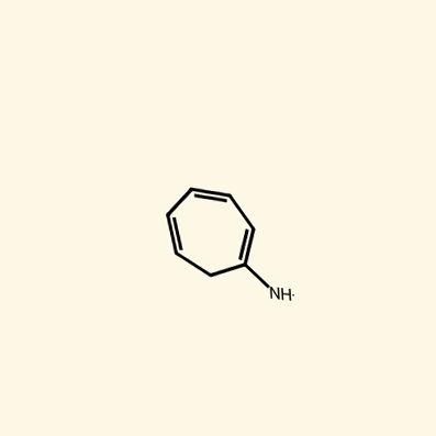 [NH]C1=CC=CC=CC1